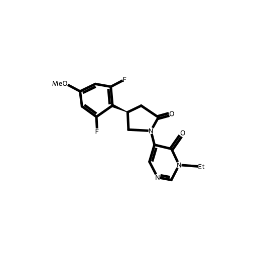 CCn1cncc(N2C[C@@H](c3c(F)cc(OC)cc3F)CC2=O)c1=O